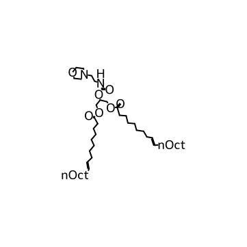 CCCCCCCCC=CCCCCCCCC(=O)OCC(COC(=O)CCCCCCCC=CCCCCCCCC)OC(=O)NCCN1CCOCC1